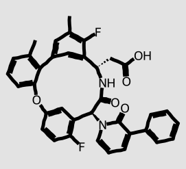 Cc1cc2cc(c1F)[C@H](CC(=O)O)NC(=O)[C@@H](n1cccc(-c3ccccc3)c1=O)c1cc(ccc1F)Oc1cccc(C)c1-2